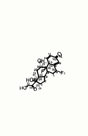 C[C@H]1CC2C3C[C@H](F)C4=CC(=O)C=C[C@]4(C)[C@@]3(F)[C@@H](O)C[C@]2(C)[C@@]1(O)C(=O)CO